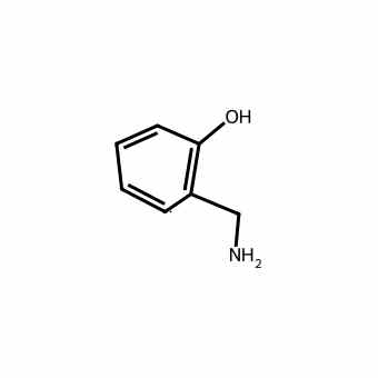 NCc1[c]cccc1O